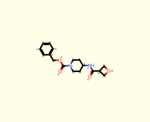 O=C(NC1CCN(C(=O)OCc2ccccc2)CC1)C1COC1